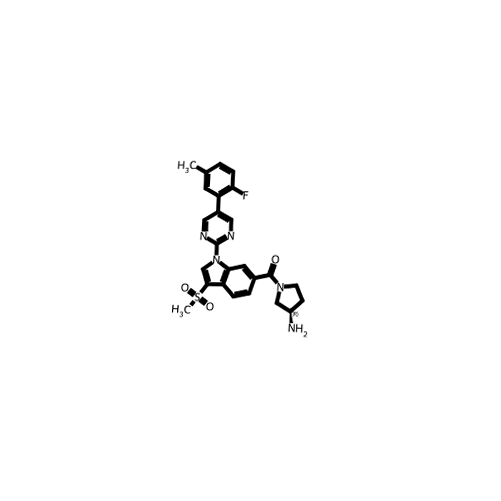 Cc1ccc(F)c(-c2cnc(-n3cc(S(C)(=O)=O)c4ccc(C(=O)N5CC[C@@H](N)C5)cc43)nc2)c1